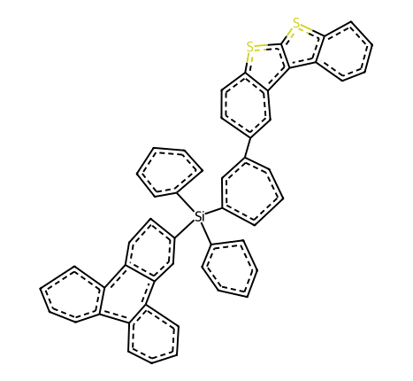 c1ccc([Si](c2ccccc2)(c2cccc(-c3ccc4sc5sc6ccccc6c5c4c3)c2)c2ccc3c4ccccc4c4ccccc4c3c2)cc1